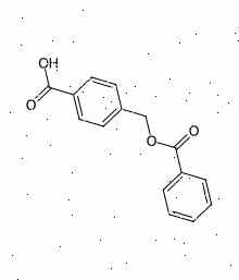 O=C(O)c1ccc(COC(=O)c2ccccc2)cc1